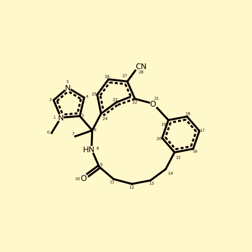 Cn1cncc1C1(C)NC(=O)CCCCc2cccc(c2)Oc2cc1ccc2C#N